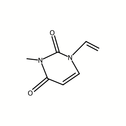 C=Cn1ccc(=O)n(C)c1=O